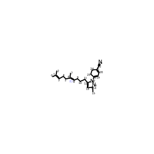 CC(C)=CCC/C(C)=C/CCCc1cc(C)nn1C1=CC=C(C#N)CC1